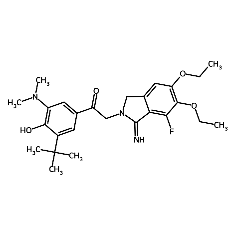 CCOc1cc2c(c(F)c1OCC)C(=N)N(CC(=O)c1cc(N(C)C)c(O)c(C(C)(C)C)c1)C2